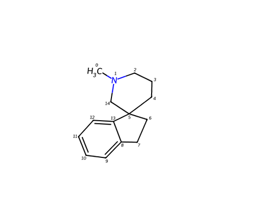 CN1CCCC2(CCc3ccccc32)C1